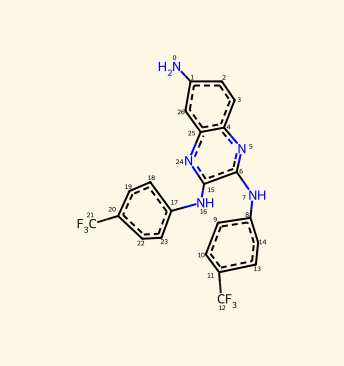 Nc1ccc2nc(Nc3ccc(C(F)(F)F)cc3)c(Nc3ccc(C(F)(F)F)cc3)nc2c1